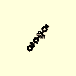 C[C@@H](NC(=O)c1ccc(-n2cc3c(n2)CCCC3)nc1)C(=O)N1CCC2(CC1)CC2